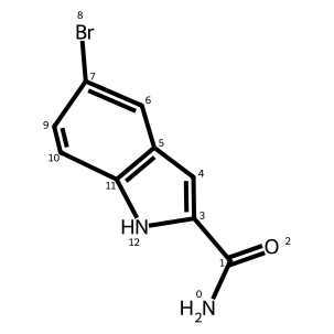 NC(=O)c1cc2cc(Br)ccc2[nH]1